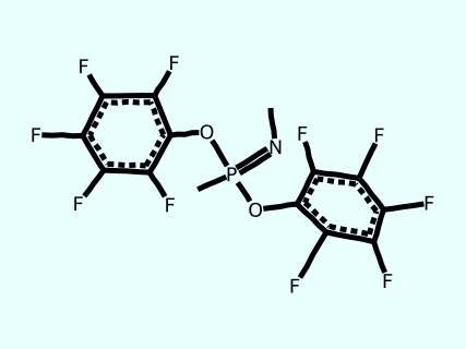 CN=P(C)(Oc1c(F)c(F)c(F)c(F)c1F)Oc1c(F)c(F)c(F)c(F)c1F